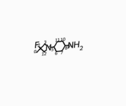 CC1(F)CN(C2CCC(N)CC2)C1